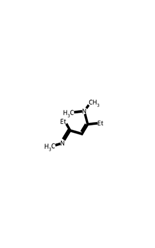 CC/C(=C/C(CC)=N/C)N(C)C